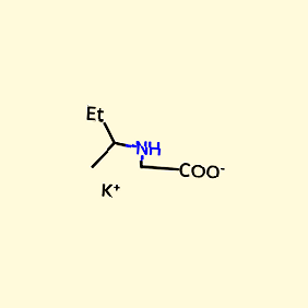 CCC(C)NCC(=O)[O-].[K+]